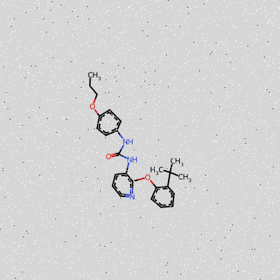 CCCOc1ccc(NC(=O)Nc2cccnc2Oc2ccccc2C(C)(C)C)cc1